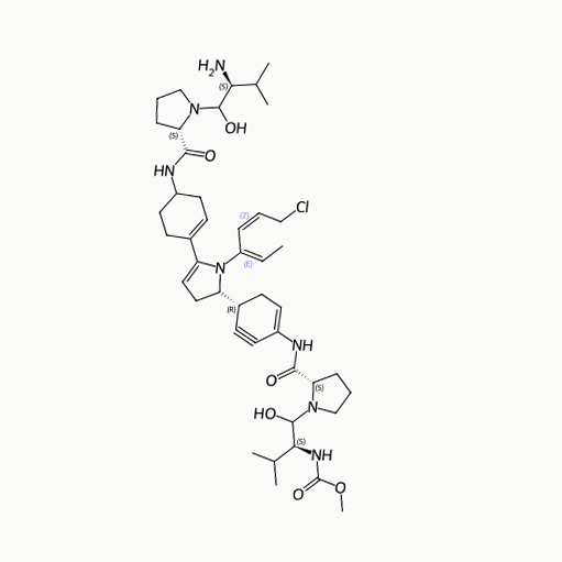 C/C=C(\C=C/CCl)N1C(C2=CCC(NC(=O)[C@@H]3CCCN3C(O)[C@@H](N)C(C)C)CC2)=CCC1[C@H]1C#CC(NC(=O)[C@@H]2CCCN2C(O)[C@@H](NC(=O)OC)C(C)C)=CC1